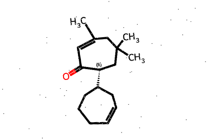 CC1=CC(=O)[C@@H](C2CC=CCCC2)CC(C)(C)C1